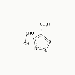 O=C(O)c1cnns1.O=CO